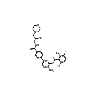 CC(Oc1nc(-c2ccc(C(=O)NCC(O)CN3CCOCC3)cc2)cnc1N)c1c(Cl)ccc(F)c1Cl